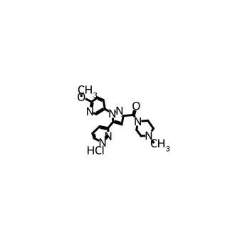 COc1ccc(-n2nc(C(=O)N3CCN(C)CC3)cc2-c2cccnn2)cn1.Cl